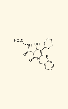 O=C(O)CNC(=O)c1c(O)c(C2CCCCC2)nn(Cc2ccccc2F)c1=O